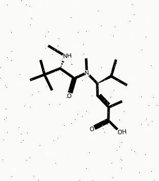 CN[C@H](C(=O)N(C)[C@H](/C=C(\C)C(=O)O)C(C)C)C(C)(C)C